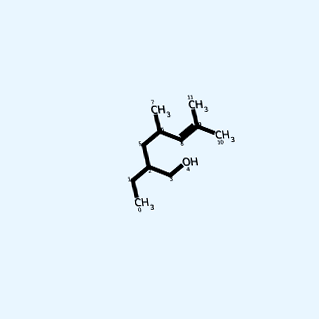 CCC(CO)CC(C)C=C(C)C